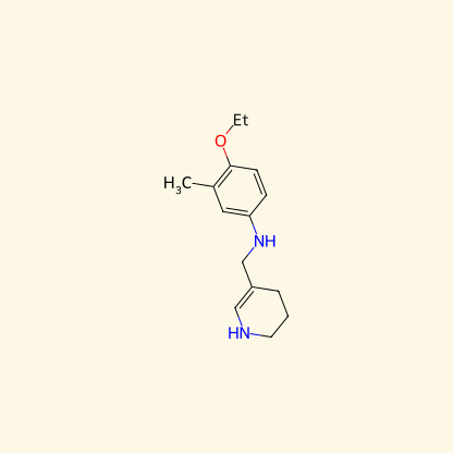 CCOc1ccc(NCC2=CNCCC2)cc1C